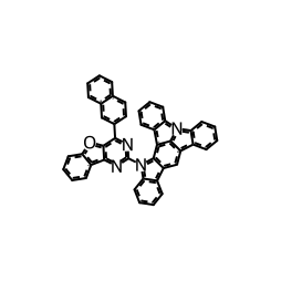 c1ccc2cc(-c3nc(-n4c5ccccc5c5cc6c7ccccc7n7c8ccccc8c(c54)c67)nc4c3oc3ccccc34)ccc2c1